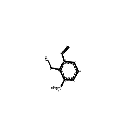 C=Cc1cccc(CCCCC)c1CCl